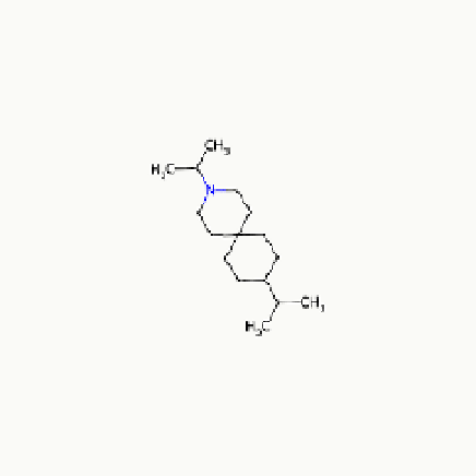 CC(C)C1CCC2(CC1)CCN(C(C)C)CC2